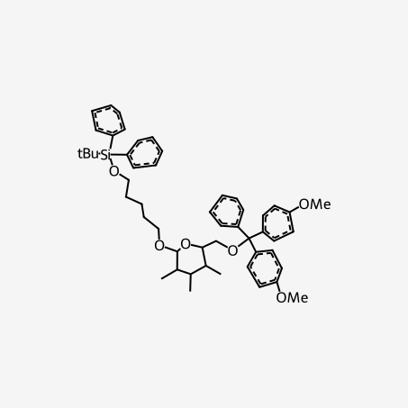 COc1ccc(C(OCC2OC(OCCCCCO[Si](c3ccccc3)(c3ccccc3)C(C)(C)C)C(C)C(C)C2C)(c2ccccc2)c2ccc(OC)cc2)cc1